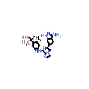 CC(C)(CO)c1ccc(Nc2nc(-c3ccc4c(N)n[nH]c4c3)cn3ccnc23)cc1